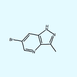 Cc1n[nH]c2cc(Br)cnc12